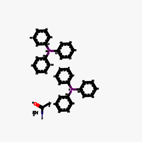 O=[C](I)[Ir].[KH].c1ccc(P(c2ccccc2)c2ccccc2)cc1.c1ccc(P(c2ccccc2)c2ccccc2)cc1